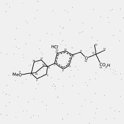 COC12CCC(c3ccc(COC(C)(C)C(=O)O)cc3)(CC1)CC2.Cl